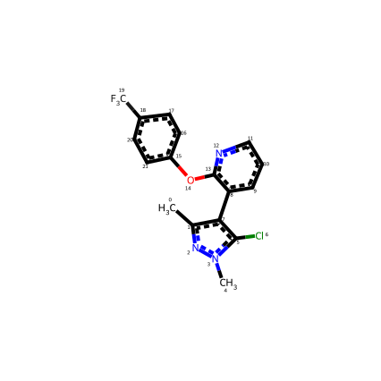 Cc1nn(C)c(Cl)c1-c1cccnc1Oc1ccc(C(F)(F)F)cc1